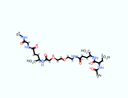 CCCC(=O)NC(CS(=O)(=O)O)C(=O)NC(CCC(=O)NCCOCCOCC(=O)NC(CCC(=O)NCC(=O)NCC)C(=O)O)C(=O)O